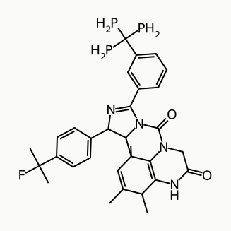 CC1=CC2(C)C3=C(NC(=O)CN3C(=O)N3C(c4cccc(C(P)(P)P)c4)=NC(c4ccc(C(C)(C)F)cc4)C32)C1C